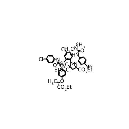 CC(C)c1ccc(NC(=O)N(C)C)cc1.CCOC(=O)C1=NN(c2ccc(Cl)cc2Cl)C(C)(C(=O)OCC)C1.CCOC(=O)[C@@H](C)Oc1ccc(Oc2nc3ccc(Cl)cc3o2)cc1